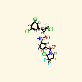 O=C(Nc1ccc(Cl)c(C(=O)N2CCC(F)(F)C2)c1)[C@@H]1[C@@H](c2cc(Cl)cc(Cl)c2)C1(Cl)Cl